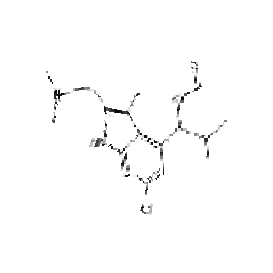 Cc1c(CN(C)C)[nH]c2cc(Cl)cc(C(OC=O)C(C)C)c12